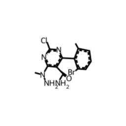 Cc1cccc(Br)c1-c1nc(Cl)nc(N(C)N)c1C(N)=O